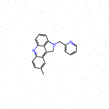 Cc1ccc2nc3cccc4c3c(c2c1)CN4Cc1ccccn1